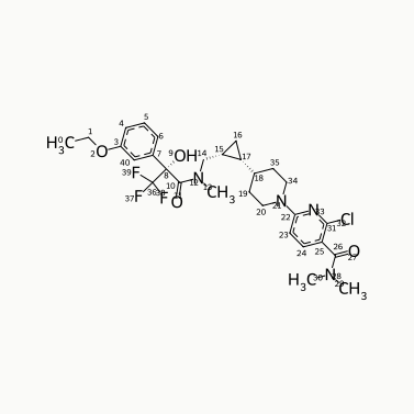 CCOc1cccc([C@@](O)(C(=O)N(C)C[C@@H]2C[C@@H]2C2CCN(c3ccc(C(=O)N(C)C)c(Cl)n3)CC2)C(F)(F)F)c1